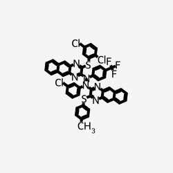 Cc1ccc(Sc2nc3cc4ccccc4cc3nc2N(c2cccc(Cl)c2)N(c2ccc(C(F)(F)F)cc2)c2nc3cc4ccccc4cc3nc2Sc2cc(Cl)ccc2Cl)cc1